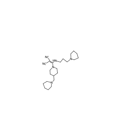 N#CC(C#N)=C(NCCCN1CCCCC1)N1CCC(CN2CCCCC2)CC1